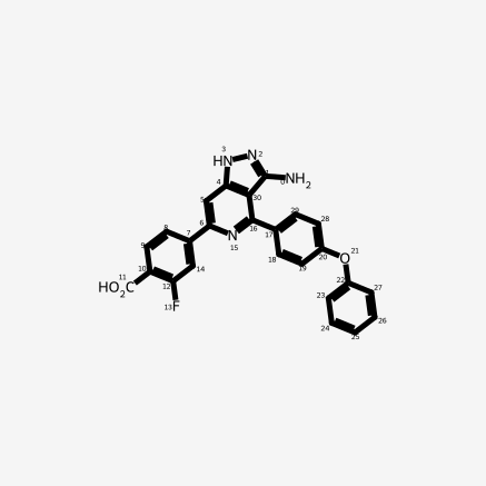 Nc1n[nH]c2cc(-c3ccc(C(=O)O)c(F)c3)nc(-c3ccc(Oc4ccccc4)cc3)c12